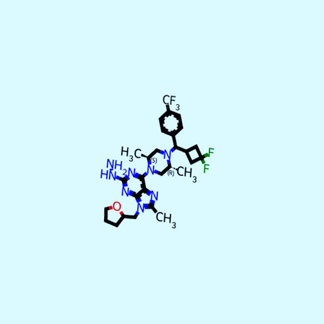 Cc1nc2c(N3C[C@@H](C)N(C(c4ccc(C(F)(F)F)cc4)C4CC(F)(F)C4)C[C@@H]3C)nc(NN)nc2n1CC1CCCO1